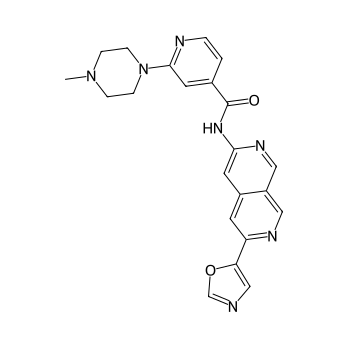 CN1CCN(c2cc(C(=O)Nc3cc4cc(-c5cnco5)ncc4cn3)ccn2)CC1